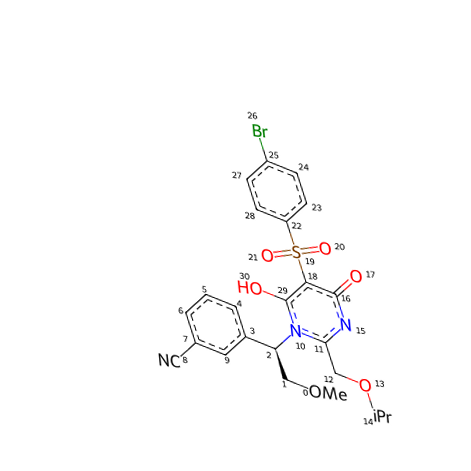 COC[C@@H](c1cccc(C#N)c1)n1c(COC(C)C)nc(=O)c(S(=O)(=O)c2ccc(Br)cc2)c1O